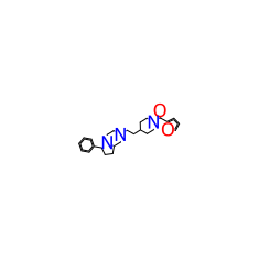 O=C(c1ccco1)N1CCC(CCN2CCN3C(CCC3c3ccccc3)C2)CC1